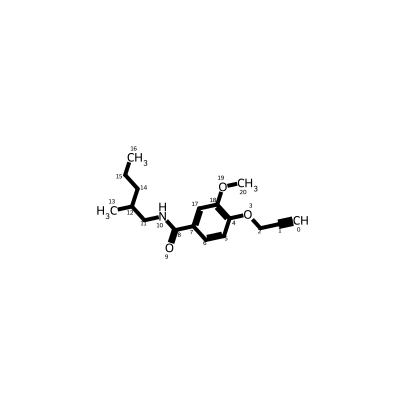 C#CCOc1ccc(C(=O)NCC(C)CCC)cc1OC